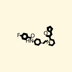 O=C(N[C@H]1CC[C@H](CCN2CCCCC2c2coc3cccc-3c2)CC1)c1ccc(F)cc1